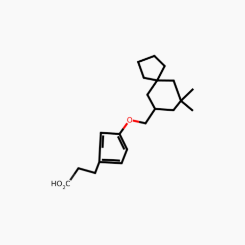 CC1(C)CC(COc2ccc(CCC(=O)O)cc2)CC2(CCCC2)C1